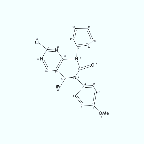 COc1ccc(N2C(=O)N(c3ccccc3)c3nc(Cl)ncc3C2C(C)C)cc1